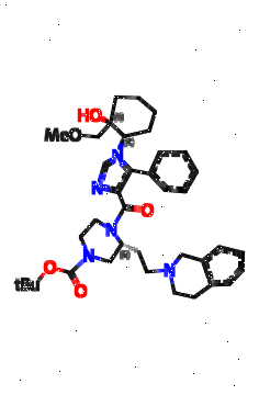 COC[C@]1(O)CCCC[C@H]1n1cnc(C(=O)N2CCN(C(=O)OC(C)(C)C)C[C@H]2CCN2CCc3ccccc3C2)c1-c1ccccc1